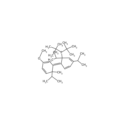 COC1=CC(=C2C=CC(C(C)C)=CC2(C(C)C)P(C(C)(C)C)C(C)(C)C)C(C)(C(C)C)C=C1